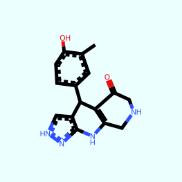 Cc1cc(C2C3=C(CNCC3=O)Nc3n[nH]cc32)ccc1O